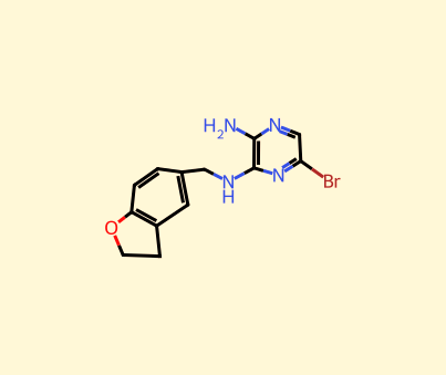 Nc1ncc(Br)nc1NCc1ccc2c(c1)CCO2